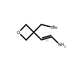 CC(C)(C)CC1(/C=C/N)COC1